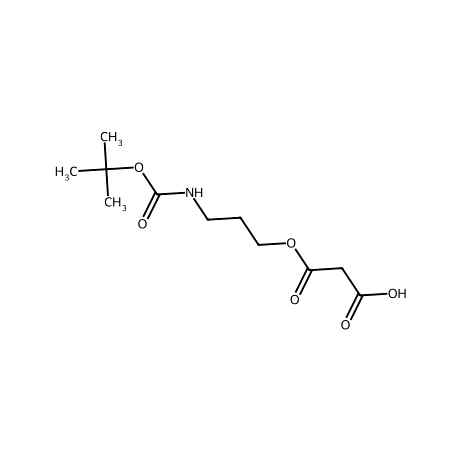 CC(C)(C)OC(=O)NCCCOC(=O)CC(=O)O